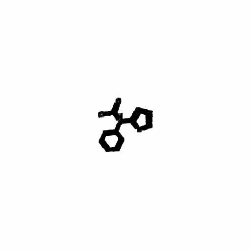 O=C(Cl)[SH](c1ccccc1)c1cccs1